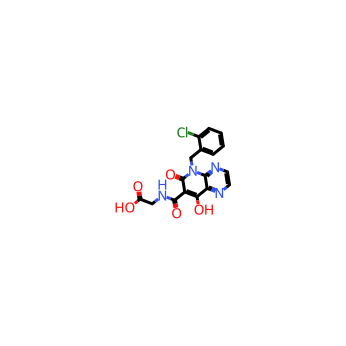 O=C(O)CNC(=O)c1c(O)c2nccnc2n(Cc2ccccc2Cl)c1=O